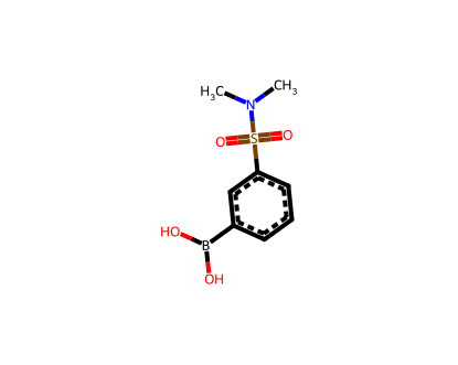 CN(C)S(=O)(=O)c1cccc(B(O)O)c1